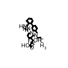 CCCN(Cc1ccc(-c2ccccc2-c2nnn[nH]2)cc1)c1ncccc1C(O)C(F)(F)C(=O)O